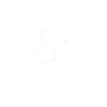 CCn1c(C(F)(F)F)nnc1S(C)(=O)=O